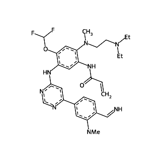 C=CC(=O)Nc1cc(Nc2cc(-c3ccc(C=N)c(NC)c3)ncn2)c(OC(F)F)cc1N(C)CCN(CC)CC